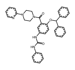 O=C(Nc1ccccc1)Nc1ccc(OC(c2ccccc2)c2ccccc2)c(C(=O)N2CCN(c3ccccn3)CC2)c1